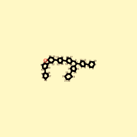 C(=C(c1ccc(-c2ccccc2)cc1)c1ccc(-c2ccccc2)cc1)c1ccc(-c2ccc(-c3ccc4oc5ccc(-c6ccccc6)cc5c4c3)cc2)cc1